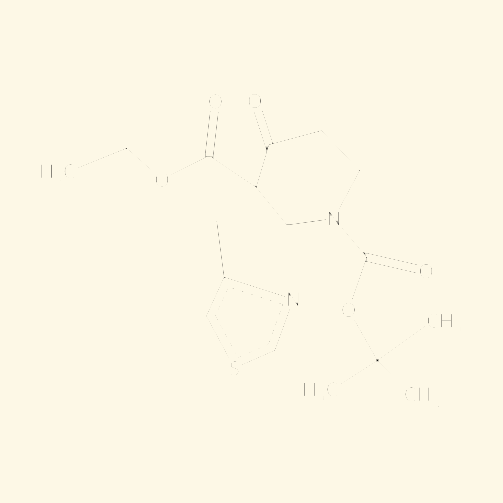 CCOC(=O)[C@]1(Cc2cscn2)CN(C(=O)OC(C)(C)C)CCC1=O